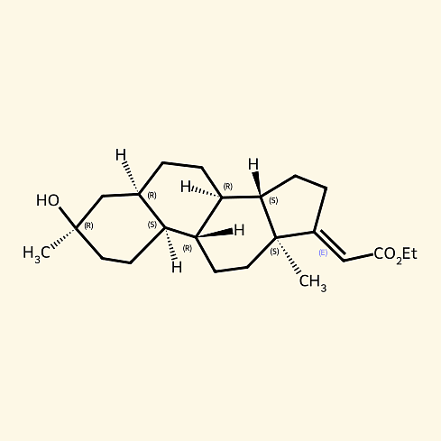 CCOC(=O)/C=C1\CC[C@H]2[C@@H]3CC[C@@H]4C[C@](C)(O)CC[C@@H]4[C@H]3CC[C@]12C